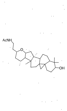 CC(=O)NCCC1C[C@@H](C)C2C(C[C@@]3(C)C4CCC5C(C)(C)C(O)CCC56CC46CCC23C)O1